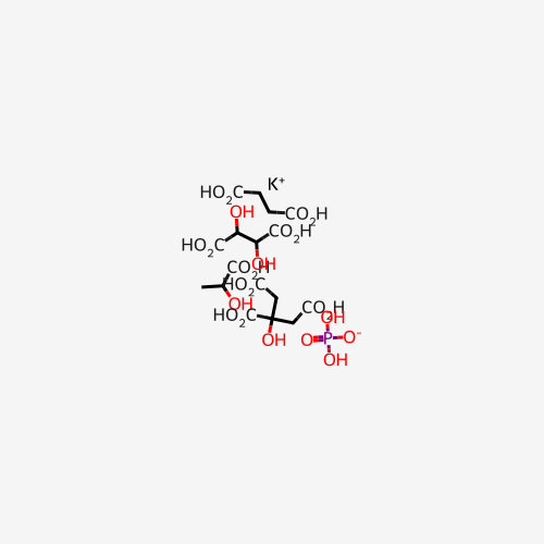 CC(O)C(=O)O.O=C(O)C(O)C(O)C(=O)O.O=C(O)CC(O)(CC(=O)O)C(=O)O.O=C(O)CCC(=O)O.O=P([O-])(O)O.[K+]